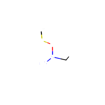 CCN(N)OSC